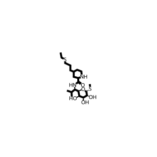 CCSCCCC1CCNC(C(=O)N[C@H](C(C)C)[C@H]2O[C@H](SC)[C@H](O)[C@@H](O)[C@H]2O)C1